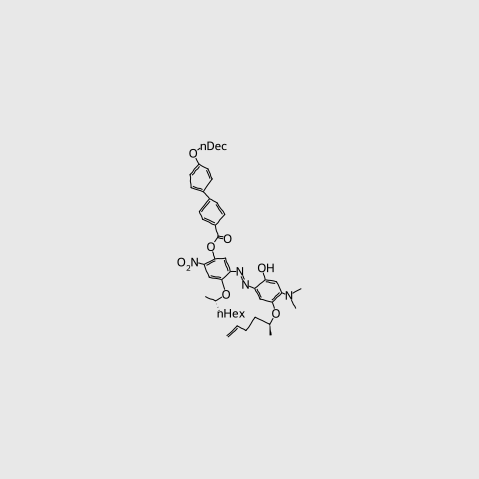 C=CCC[C@H](C)Oc1cc(/N=N/c2cc(OC(=O)c3ccc(-c4ccc(OCCCCCCCCCC)cc4)cc3)c([N+](=O)[O-])cc2O[C@@H](C)CCCCCC)c(O)cc1N(C)C